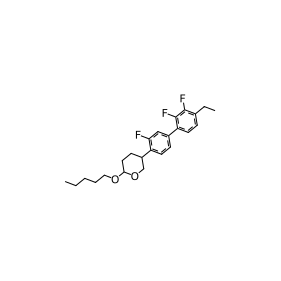 CCCCCOC1CCC(c2ccc(-c3ccc(CC)c(F)c3F)cc2F)CO1